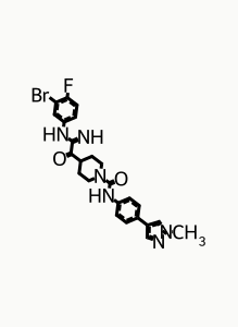 Cn1cc(-c2ccc(NC(=O)N3CCC(C(=O)C(=N)Nc4ccc(F)c(Br)c4)CC3)cc2)cn1